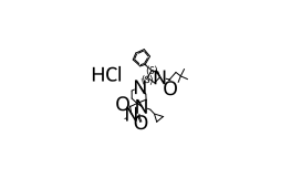 CN1C(=O)N(CC2CC2)C2(CCN(C[C@H]3CN(C(=O)CC(C)(C)C)C[C@@H]3c3ccccc3)CC2)C1=O.Cl